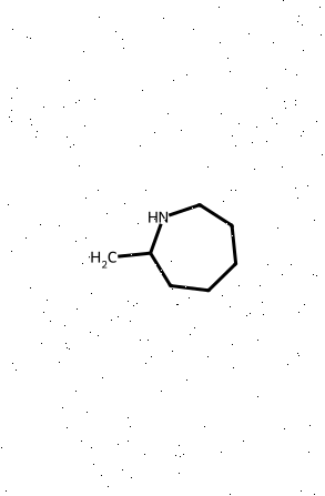 [CH2]C1CCCCCN1